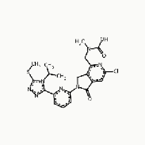 CSc1nnc(-c2cccc(N3Cc4c(cc(Cl)nc4CN(C)C(=O)O)C3=O)n2)n1C(C)C